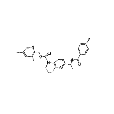 Cc1cnc(COC(=O)N2CCCc3nc(C(C)NC(=O)c4ccc(F)cc4)ccc32)c(C)c1